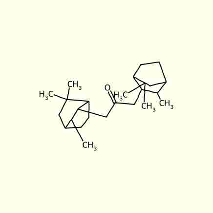 CC1C2CCC(C1CC(=O)CC1C(C)C3CCC1C(C)(C)C3)C(C)(C)C2